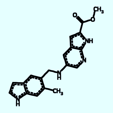 COC(=O)c1cc2cc(NCc3cc4cc[nH]c4cc3C)cnc2[nH]1